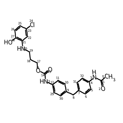 CC(=O)Nc1ccc(Cc2ccc(NC(=O)OCCCNc3cc(Cl)ccc3O)cc2)cc1